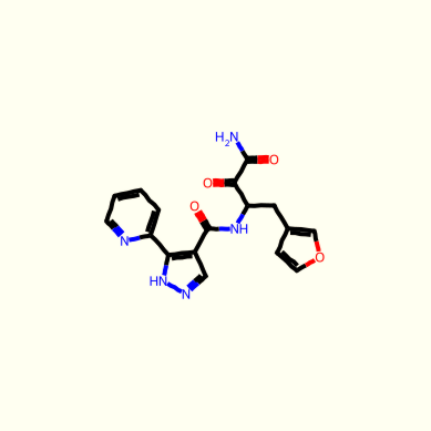 NC(=O)C(=O)C(Cc1ccoc1)NC(=O)c1cn[nH]c1-c1ccccn1